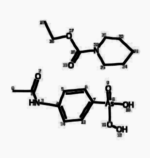 CC(=O)Nc1ccc([As](=O)(O)OO)cc1.CCOC(=O)N1CCCCC1